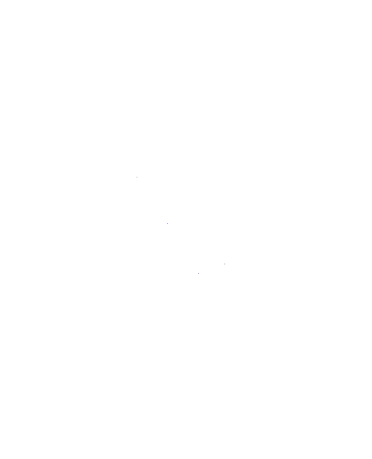 c1ccc(-c2cc(-n3c4ccccc4c4c3ccc3c5ccccc5n(-c5ccccc5)c34)cc3ccccc23)cc1